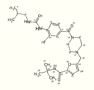 CC(C)CNC(=O)Nc1ccc(C(=O)N2CCN(Cc3ccc(C(=O)NC(C)(C)C)o3)CC2)cc1F